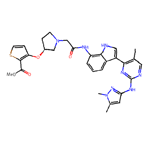 COC(=O)c1sccc1O[C@H]1CCN(CC(=O)Nc2cccc3c(-c4nc(Nc5cc(C)n(C)n5)ncc4C)c[nH]c23)C1